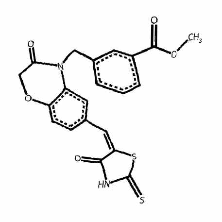 COC(=O)c1cccc(CN2C(=O)COc3ccc(C=C4SC(=S)NC4=O)cc32)c1